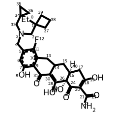 CCC1(CN(Cc2cc(O)c3c(c2F)CC2C[C@H]4CC(O)=C(C(N)=O)C(=O)[C@@]4(O)C(O)=C2C3=O)CC2CC2)CCC1